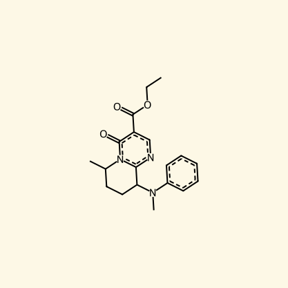 CCOC(=O)c1cnc2n(c1=O)C(C)CCC2N(C)c1ccccc1